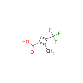 CC1=C(C(=O)O)C=C1C(F)(F)F